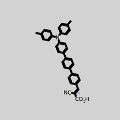 Cc1ccc(N(c2ccc(C)cc2)c2ccc(-c3ccc(-c4ccc(/C=C(\C#N)C(=O)O)cc4)cc3)cc2)cc1